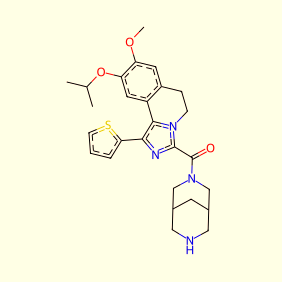 COc1cc2c(cc1OC(C)C)-c1c(-c3cccs3)nc(C(=O)N3CC4CNCC(C4)C3)n1CC2